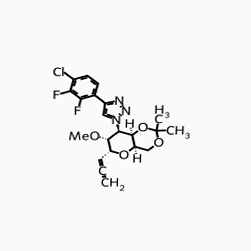 C=C=C[C@H]1O[C@@H]2COC(C)(C)O[C@@H]2[C@H](n2cc(-c3ccc(Cl)c(F)c3F)nn2)[C@H]1OC